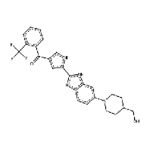 O=C(c1c[nH]c(-c2nc3ccc(N4CCC(CO)CC4)cc3[nH]2)c1)c1ccccc1C(F)(F)F